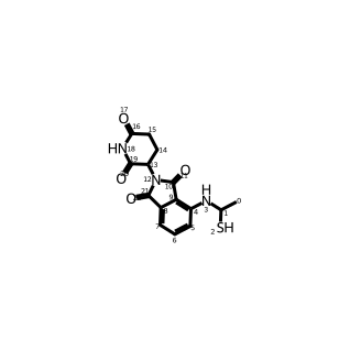 CC(S)Nc1cccc2c1C(=O)N(C1CCC(=O)NC1=O)C2=O